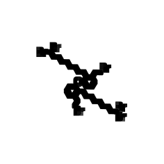 BrCCc1cccc(Oc2cccc(CCBr)c2CCCCCCCCC(Br)Br)c1CCCCCCCCC(Br)Br